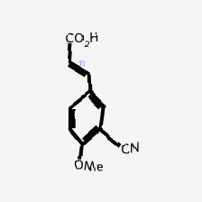 COc1ccc(/C=C/C(=O)O)cc1C#N